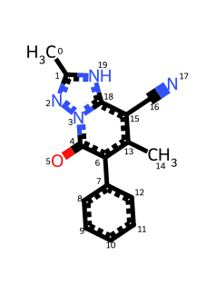 Cc1nn2c(=O)c(-c3ccccc3)c(C)c(C#N)c2[nH]1